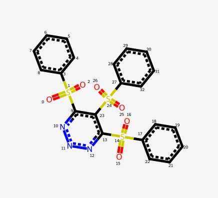 O=S(=O)(c1ccccc1)c1nnnc(S(=O)(=O)c2ccccc2)c1S(=O)(=O)c1ccccc1